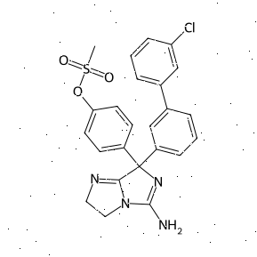 CS(=O)(=O)Oc1ccc(C2(c3cccc(-c4cccc(Cl)c4)c3)N=C(N)N3CCN=C32)cc1